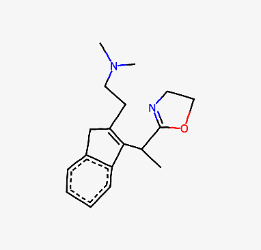 CC(C1=NCCO1)C1=C(CCN(C)C)Cc2ccccc21